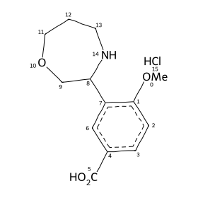 COc1ccc(C(=O)O)cc1C1COCCCN1.Cl